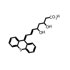 O=C(O)CC(O)CC(O)/C=C/C=C1c2ccccc2Sc2ccccc21